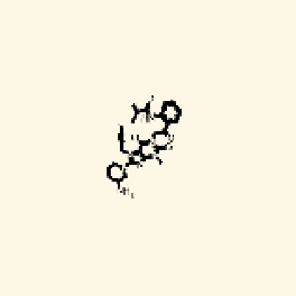 CC#CCn1c(N2CCCC(N)C2)nc2c1c(=O)n(CC(=O)c1ccccc1NC(=O)C(C)C)c(=O)n2C